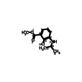 COC(=O)c1cccc(NC(C)C)c1Cl